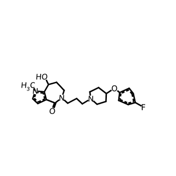 Cn1ccc2c1C(O)CCN(CCCN1CCC(Oc3ccc(F)cc3)CC1)C2=O